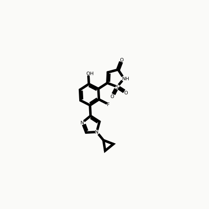 O=C1C=C(c2c(O)ccc(-c3cn(C4CC4)cn3)c2F)S(=O)(=O)N1